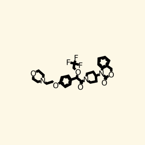 O=C(C(OCC(F)(F)F)c1ccc(OCCN2CCOCC2)cc1)N1CCC(N2C(=O)OCc3ccccc32)CC1